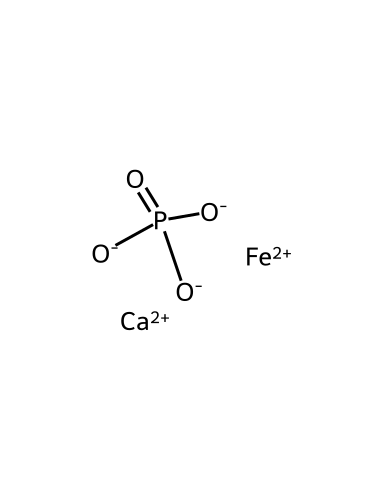 O=P([O-])([O-])[O-].[Ca+2].[Fe+2]